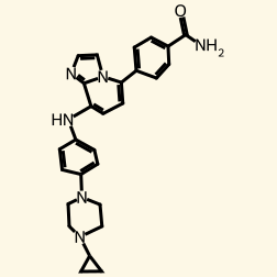 NC(=O)c1ccc(-c2ccc(Nc3ccc(N4CCN(C5CC5)CC4)cc3)c3nccn23)cc1